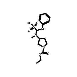 CCOC(=O)N1CCC(N(C)C(Nc2ccccc2)S(=O)(=O)O)C1